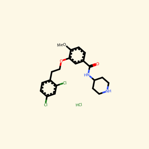 COc1ccc(C(=O)NC2CCNCC2)cc1OCCc1ccc(Cl)cc1Cl.Cl